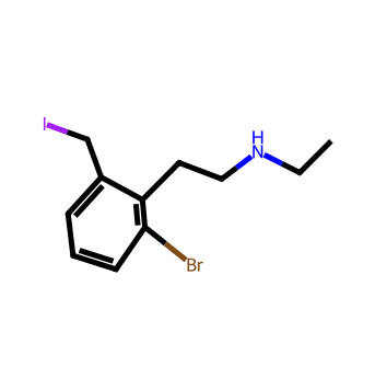 CCNCCc1c(Br)cccc1CI